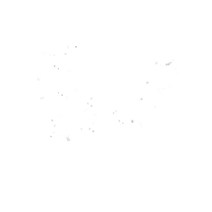 CC(C)COC(=O)N1CCN(c2cccc3[nH]c(CNC(=O)OCc4ccccc4)nc23)CC1